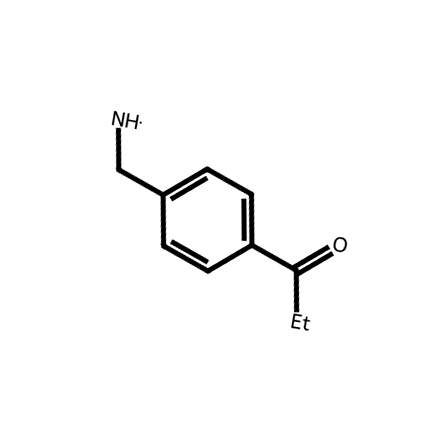 CCC(=O)c1ccc(C[NH])cc1